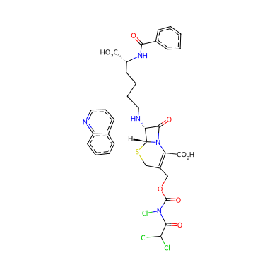 O=C(O)C1=C(COC(=O)N(Cl)C(=O)C(Cl)Cl)CS[C@@H]2[C@H](NCCCC[C@@H](NC(=O)c3ccccc3)C(=O)O)C(=O)N12.c1ccc2ncccc2c1